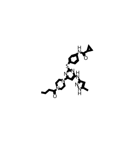 CCCC(=O)N1CCN(c2cc(Nc3cc(C)[nH]n3)nc(Sc3ccc(NC(=O)C4CC4)cc3)n2)CC1